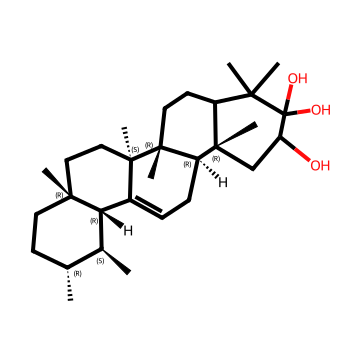 C[C@H]1[C@H](C)CC[C@]2(C)CC[C@]3(C)C(=CC[C@@H]4[C@@]5(C)CC(O)C(O)(O)C(C)(C)C5CC[C@]43C)[C@H]12